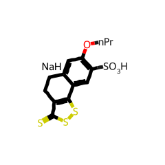 CCCOc1cc2c(cc1S(=O)(=O)O)-c1ssc(=S)c1CC2.[NaH]